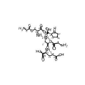 C[C@H](N)C(=O)OC(=O)CN.NCC(=O)OC[C@H](N)C(=O)O.N[C@@H](CCC(=O)O)C(=O)O.O=C(O)[C@@H]1CCCN1